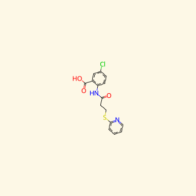 O=C(CCSc1ccccn1)Nc1ccc(Cl)cc1C(=O)O